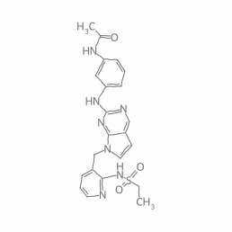 CCS(=O)(=O)Nc1ncccc1Cn1ccc2cnc(Nc3cccc(NC(C)=O)c3)nc21